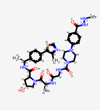 CCCNNC(=O)c1ccc(N2CCN(C(=O)NCC(=O)N[C@H](C(=O)N3C[C@H](O)CC3C(=O)N[C@@H](C)c3ccc(-c4scnc4C)cc3)C(C)(C)C)CC2)cc1